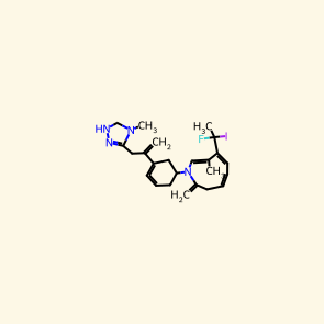 C=C(CC1=NNCN1C)C1=C=CCC(N2/C=C(C)/C(C(C)(F)I)=C\C=C/CC2=C)C1